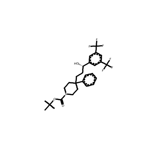 CC(C)(C)OC(=O)N1CCC(CC[C@H](O)c2cc(C(F)(F)F)cc(C(F)(F)F)c2)(c2ccccc2)CC1